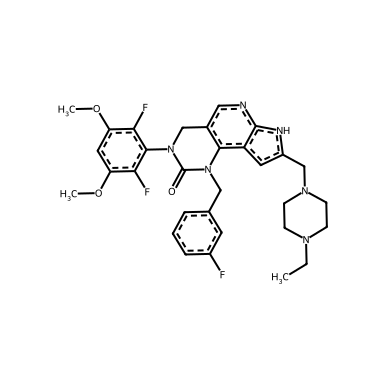 CCN1CCN(Cc2cc3c4c(cnc3[nH]2)CN(c2c(F)c(OC)cc(OC)c2F)C(=O)N4Cc2cccc(F)c2)CC1